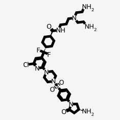 NCCN(CCN)CCCNC(=O)[C@H]1CC[C@H](C(F)(F)c2cc(Cl)nc(N3CCN(S(=O)(=O)c4ccc(N5C[C@H](N)CC5=O)cc4)CC3)c2)CC1